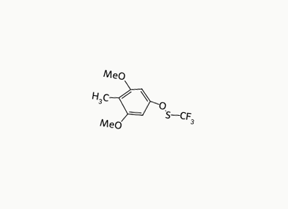 COc1cc(OSC(F)(F)F)cc(OC)c1C